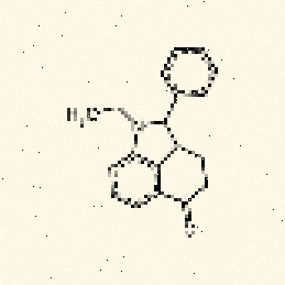 CCN1c2cccc3c2C(CCC3=O)C1c1ccccc1